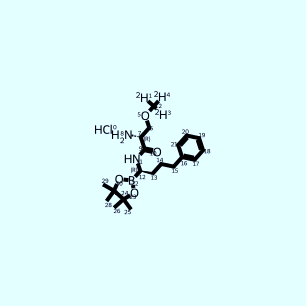 Cl.[2H]C([2H])([2H])OC[C@@H](N)C(=O)N[C@@H](CCCc1ccccc1)B1OC(C)(C)C(C)(C)O1